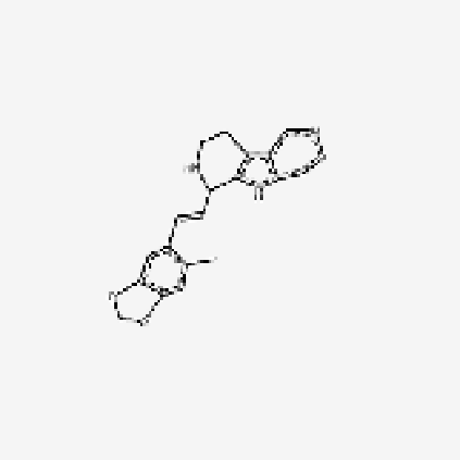 Cc1cc2c(cc1/C=C/C1NCCc3c1[nH]c1ccncc31)OCO2